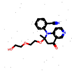 CC1(OCCOCCO)CC(=O)c2cnccc2N1c1ccccc1C#N